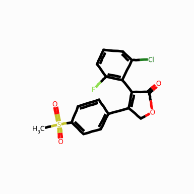 CS(=O)(=O)c1ccc(C2=C(c3c(F)cccc3Cl)C(=O)OC2)cc1